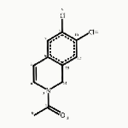 CC(=O)N1C=Cc2cc(Cl)c(Cl)cc2C1